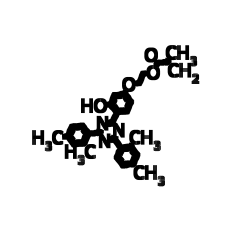 C=C(C)C(=O)OCCOc1ccc(-c2nc(-c3ccc(C)cc3C)nc(-c3ccc(C)cc3C)n2)c(O)c1